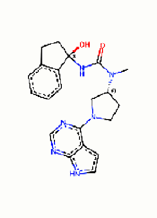 CN(C(=O)N[C@@]1(O)CCc2ccccc21)[C@@H]1CCN(c2ncnc3[nH]ccc23)C1